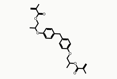 C=C(C)C(=O)OCC(C)Oc1ccc(Cc2ccc(OCC(C)OC(=O)C(=C)C)cc2)cc1